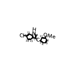 COc1cccc(Cc2c[nH]c3cc(Cl)ccc23)c1